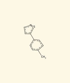 Cc1ccc(-c2ccns2)cc1